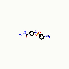 NNC(=O)c1ccc(NS(=O)(=O)c2cccc(N)c2)cc1